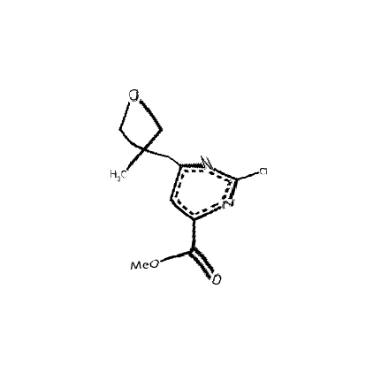 COC(=O)c1cc(C2(C)COC2)nc(Cl)n1